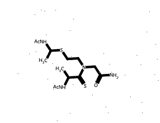 CC(=O)NC(C)SCCN(CC(N)=O)C(=S)C(C)NC(C)=O